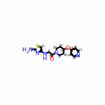 Nc1nc(NCC(=O)N2CCC(Oc3ccncc3)CC2)cs1